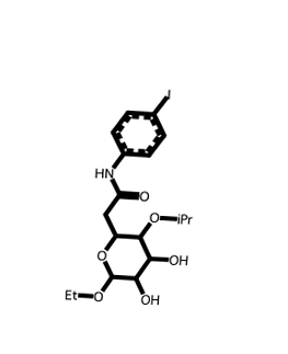 CCOC1OC(CC(=O)Nc2ccc(I)cc2)C(OC(C)C)C(O)C1O